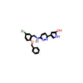 CCN(Cc1cc(Br)ccc1OCc1ccccc1)c1ccc(-c2c[nH]c(O)c2)nn1